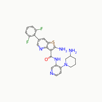 Nc1sc2cc(-c3c(F)cccc3F)cnc2c1C(=O)Nc1cnccc1N1CCCC(N)C1